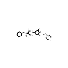 Cc1cc(-c2nc(=O)c3c(ncn3Cc3ccccc3)[nH]2)cc(C)c1OCCN1CCOCC1